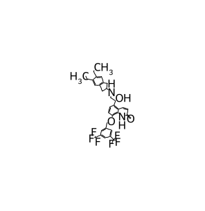 CCc1cc2c(cc1CC)CC(NCC(O)c1ccc(OCc3cc(C(F)(F)F)cc(C(F)(F)F)c3)c3[nH]c(=O)ccc13)C2